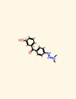 CN(C)N=Nc1ccc(C(=O)c2cccc(O)c2)cc1